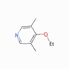 CCOc1c(C)cncc1C